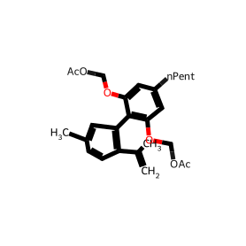 C=C(C)c1ccc(C)cc1-c1c(OCOC(C)=O)cc(CCCCC)cc1OCOC(C)=O